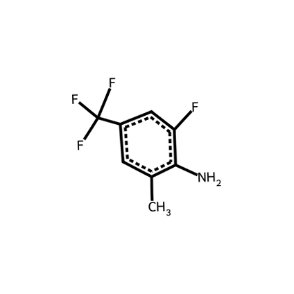 Cc1cc(C(F)(F)F)cc(F)c1N